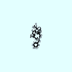 CN(C)C(=O)[C@@H]1CC[C@@H]2CCN(Cc3ccccc3)CCC(=O)N21